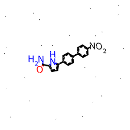 NC(=O)c1ccc(-c2ccc(-c3ccc([N+](=O)[O-])cc3)cc2)[nH]1